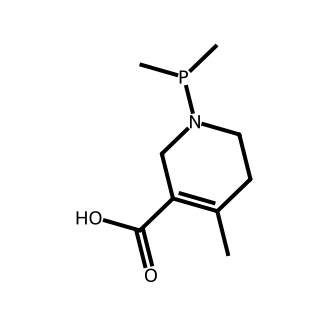 CC1=C(C(=O)O)CN(P(C)C)CC1